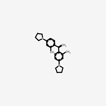 C=C(c1ccc(N2CCCC2)cc1C)c1ccc(N2CCCC2)cc1C